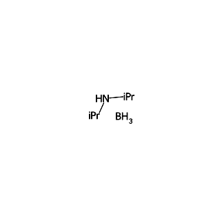 B.CC(C)NC(C)C